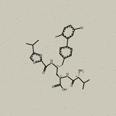 CC(C)c1coc(C(=O)N[C@H](Cc2ccc(-c3cc(Cl)ccc3F)cc2)C[C@@H](NC(=O)[C@H](N)C(C)C)C(=O)O)n1